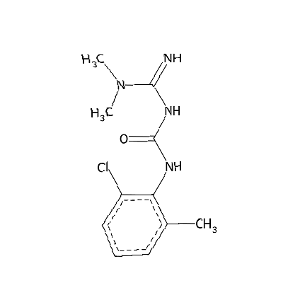 Cc1cccc(Cl)c1NC(=O)NC(=N)N(C)C